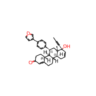 CC#CC1(O)C=CC[C@H]2[C@@H]3CCC4=CC(=O)CC[C@@H]4[C@H]3[C@@H](c3ccc(-c4ccoc4)cc3)C[C@@]21C